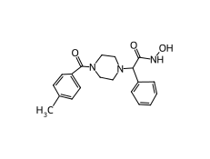 Cc1ccc(C(=O)N2CCN(C(C(=O)NO)c3ccccc3)CC2)cc1